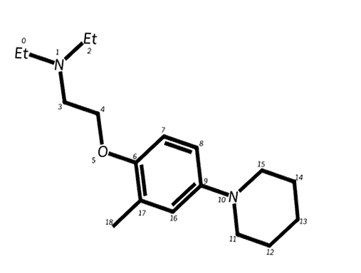 CCN(CC)CCOc1ccc(N2CCCCC2)cc1C